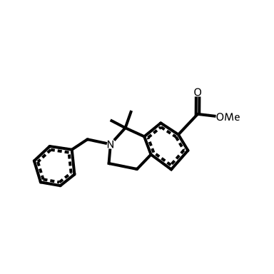 COC(=O)c1ccc2c(c1)C(C)(C)N(Cc1ccccc1)CC2